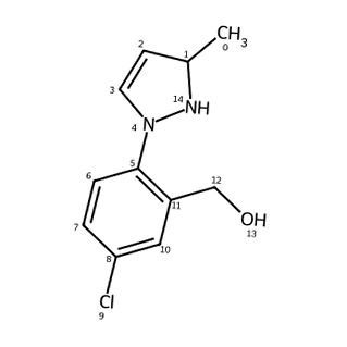 CC1C=CN(c2ccc(Cl)cc2CO)N1